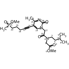 COC(=O)CN(CCN(C)C)C(=O)Cn1cc(C#CCCCP(C)(=O)OC)c(C)nc1=O